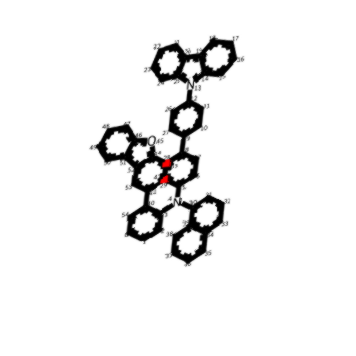 c1ccc(N(c2ccc(-c3ccc(-n4c5ccccc5c5ccccc54)cc3)cc2)c2cccc3ccccc23)c(-c2ccc3oc4ccccc4c3c2)c1